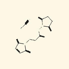 CC#N.O=C(CCN1C(=O)C=CC1=O)ON1C(=O)CCC1=O